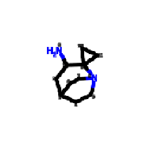 NC1CC2CCN(CC2)C12CC2